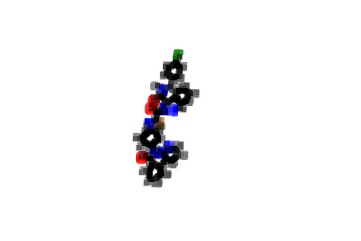 CN(Cc1ccc(F)cc1)C(=O)[C@@H](NC(=O)c1nc2ccc(NC(=O)c3ccccc3-c3cccnc3)cc2s1)c1ccccc1